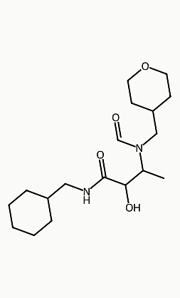 CC(C(O)C(=O)NCC1CCCCC1)N(C=O)CC1CCOCC1